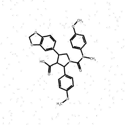 COc1ccc(C2C(C(=O)O)C(c3ccc4c(c3)OCO4)CN2C(=O)N(C)c2ccc(OC)cc2)cc1